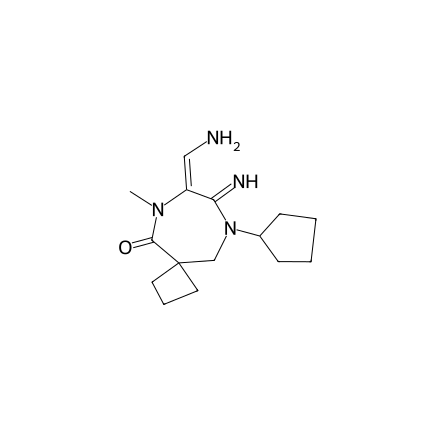 CN1C(=O)C2(CCC2)CN(C2CCCC2)C(=N)/C1=C\N